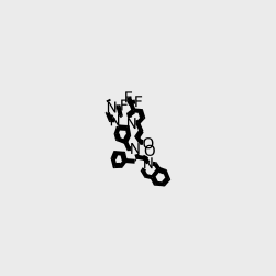 CN1CCN(c2ccc(CN(C(=O)C=Cc3ccc(C(F)(F)F)cn3)[C@@H](Cc3ccccc3)C(=O)N3CCc4ccccc4C3)cc2)CC1